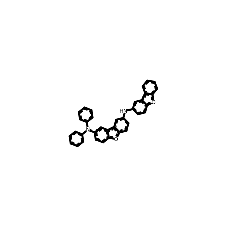 c1ccc(N(c2ccccc2)c2ccc3oc4ccc(Nc5ccc6oc7ccccc7c6c5)cc4c3c2)cc1